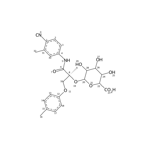 [C-]#[N+]c1ccc(NC(=O)[C@](C)(COc2ccc(C)cc2)OC2OC(C(=O)O)C(O)C(O)C2O)cc1C